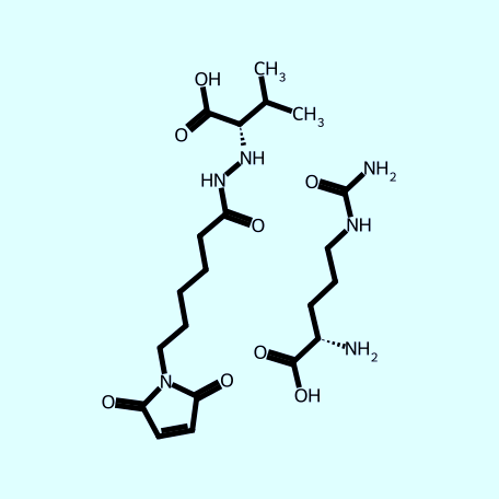 CC(C)[C@H](NNC(=O)CCCCCN1C(=O)C=CC1=O)C(=O)O.NC(=O)NCCC[C@H](N)C(=O)O